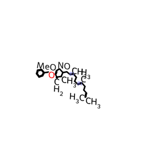 C=C1C(OCc2ccccc2)=C(OC)C(N=O)C(C/C=C(\C)CC/C=C(\C)CCC=C(C)C)C1C